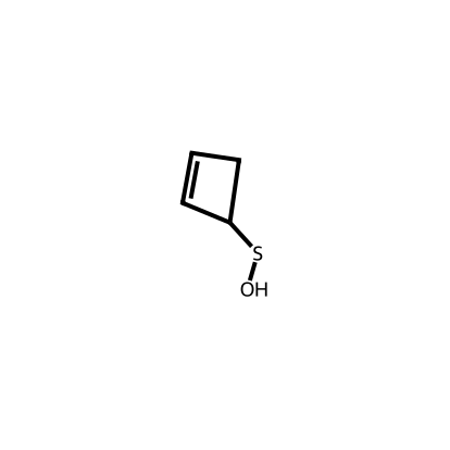 OSC1C=CC1